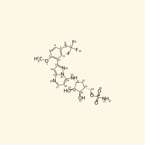 COc1ccc(SC(F)(F)F)cc1-c1cc2nccc(N[C@@H]3C[C@H](COS(N)(=O)=O)[C@@H](O)[C@H]3O)n2n1